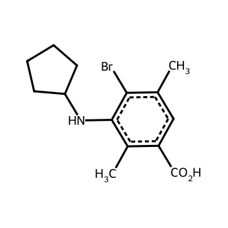 Cc1cc(C(=O)O)c(C)c(NC2CCCC2)c1Br